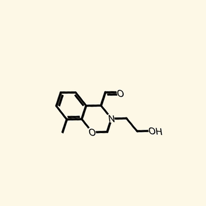 Cc1cccc2c1OCN(CCO)C2C=O